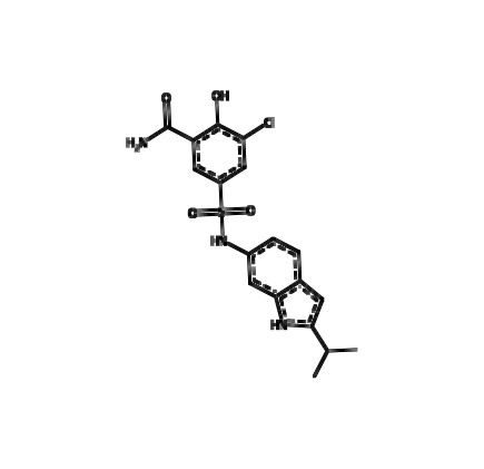 CC(C)c1cc2ccc(NS(=O)(=O)c3cc(Cl)c(O)c(C(N)=O)c3)cc2[nH]1